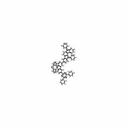 c1ccc(-c2nc(-c3ccccc3)nc(-c3ccc4c(c3)-c3cc(-c5ccc6c(c5)c5ccc7c(c8ccccc8n7-c7ccccc7)c5n6-c5ccccc5)ccc3C43c4ccccc4Oc4ccccc43)n2)cc1